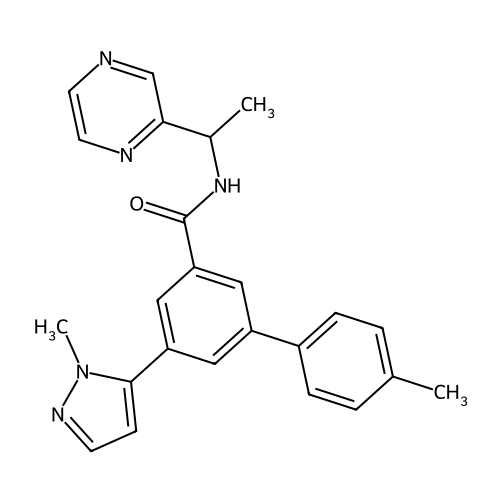 Cc1ccc(-c2cc(C(=O)NC(C)c3cnccn3)cc(-c3ccnn3C)c2)cc1